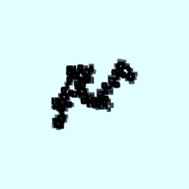 COc1cc2c(cc1OCCCOc1cc3c(cc1OC)C(=O)N1CC4(CC4)C[C@H]1C(O)N3C(=O)OCc1ccc(NC(=O)[C@H](C)NC(=O)[C@@H](NC(=O)CNC(=O)CNC(=O)CCC(=O)N3Cc4ccccc4C#Cc4ccccc43)C(C)C)cc1)NC[C@@H]1CC(c3ccc4nccnc4c3)=CN1C2=O